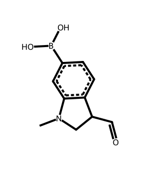 CN1CC(C=O)c2ccc(B(O)O)cc21